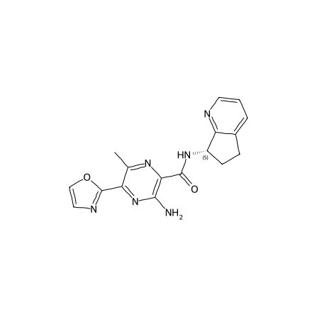 Cc1nc(C(=O)N[C@H]2CCc3cccnc32)c(N)nc1-c1ncco1